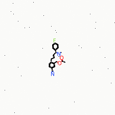 CC(=O)OCc1cc(C#N)ccc1CC=CC(c1ccc(F)cc1)N(C)C